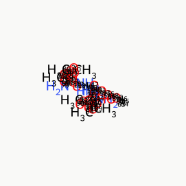 CC(=O)OC[C@H]1O[C@@H](OCC(=O)NCCCC[C@H](NC(=O)CO[C@@H]2O[C@H](COC(C)=O)[C@H](OC(C)=O)[C@H](OC(C)=O)[C@H]2CC(N)=O)C(=O)NCCOCCOC[C@H](O)COCc2ccccc2)[C@H](CC(N)=O)[C@@H](OC(C)=O)[C@H]1OC(C)=O